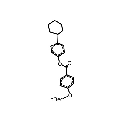 CCCCCCCCCCOc1ccc(C(=O)Oc2ccc(C3CCCCC3)cc2)cc1